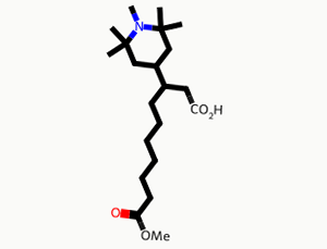 COC(=O)CCCCCCC(CC(=O)O)C1CC(C)(C)N(C)C(C)(C)C1